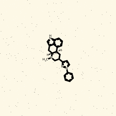 CN1CC(c2ccn(-c3ccccc3)n2)C[C@@H]2c3cccc4[nH]cc(c34)C[C@H]21